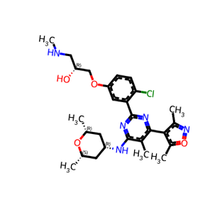 CNC[C@@H](O)COc1ccc(Cl)c(-c2nc(N[C@H]3C[C@@H](C)O[C@@H](C)C3)c(C)c(-c3c(C)noc3C)n2)c1